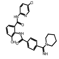 N=C(c1ccc(C(=O)Nc2c(O)cccc2C(=O)Nc2ccc(Cl)cn2)cc1)N1CCCCC1